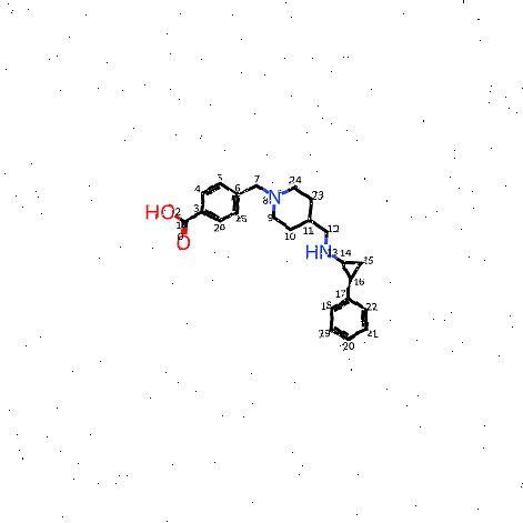 O=C(O)c1ccc(CN2CCC(CNC3CC3c3ccccc3)CC2)cc1